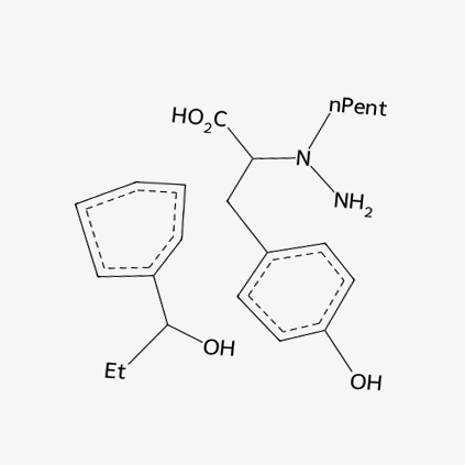 CCC(O)c1ccccc1.CCCCCN(N)C(Cc1ccc(O)cc1)C(=O)O